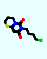 O=c1cc2n(c(=O)n1CCCCCl)CCCS2